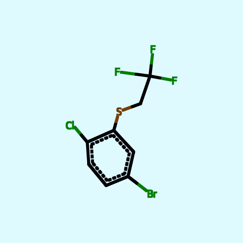 FC(F)(F)CSc1cc(Br)ccc1Cl